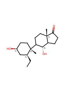 CC[C@H]1C[C@@H](O)CC[C@]1(C)C1CC[C@]2(C)C(=O)CCC2[C@@H]1O